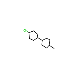 CC1CCC(C2CCC(Cl)CC2)CC1